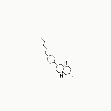 CCCCCC1CCC([C@@H]2CC[C@H]3C[C@@H](C)CC[C@@H]3C2)CC1